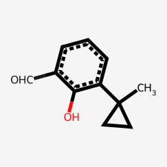 CC1(c2cccc(C=O)c2O)CC1